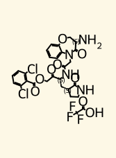 N[C@H]1COc2ccccc2N(CC(=O)N[C@@H](C[C@@H]2CCNC2=O)C(=O)COC(=O)c2c(Cl)cccc2Cl)C1=O.O=C(O)C(F)(F)F